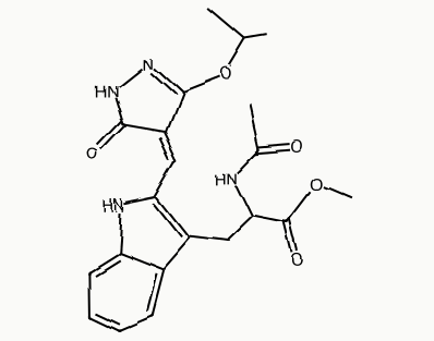 COC(=O)C(Cc1c(C=C2C(=O)NN=C2OC(C)C)[nH]c2ccccc12)NC(C)=O